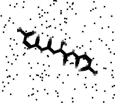 N[C@@H](CC(=O)OC(=O)/C=C\C(=O)O)C(=O)OC(=O)/C=C\C(=O)O